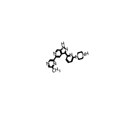 Cc1cncc(-c2cc3c(-c4cccc(N5CCNCC5)n4)n[nH]c3cn2)n1